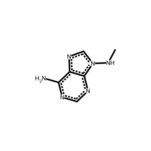 CNn1cnc2c(N)ncnc21